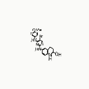 COc1ccc(Nc2nc(Nc3ccc4c(c3)CCC(O)N4)ncc2Br)cn1